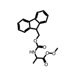 COOC(=O)C(C)NC(=O)OCC1c2ccccc2-c2ccccc21